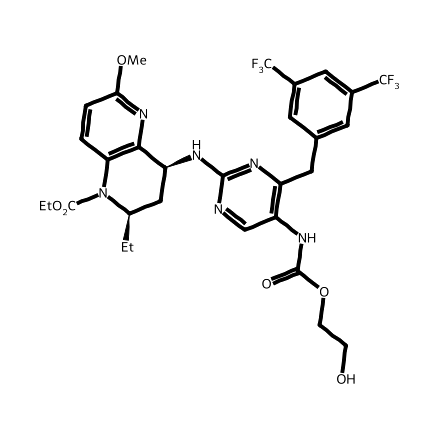 CCOC(=O)N1c2ccc(OC)nc2[C@@H](Nc2ncc(NC(=O)OCCO)c(Cc3cc(C(F)(F)F)cc(C(F)(F)F)c3)n2)C[C@H]1CC